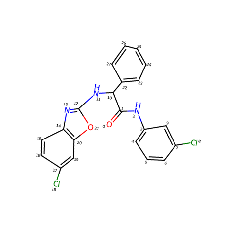 O=C(Nc1cccc(Cl)c1)C(Nc1nc2ccc(Cl)cc2o1)c1ccccc1